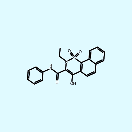 CCN1C(C(=O)Nc2ccccc2)=C(O)c2ccc3ccccc3c2S1(=O)=O